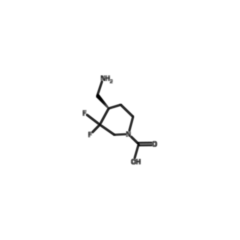 NC[C@H]1CCN(C(=O)O)CC1(F)F